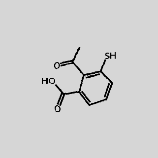 CC(=O)c1c(S)cccc1C(=O)O